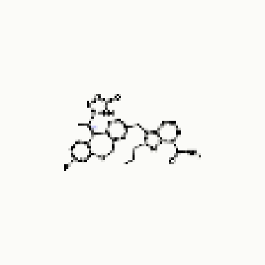 CCCc1nc2c(C(N)=O)cccc2n1Cc1ccc2c(c1)COc1cc(F)ccc1/C2=C(\C)c1noc(=O)[nH]1